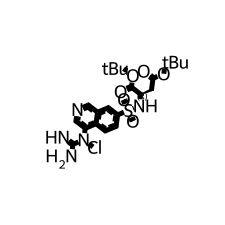 CC(C)(C)OC(=O)C[C@@H](NS(=O)(=O)c1ccc2c(N(Cl)C(=N)N)cncc2c1)C(=O)OC(C)(C)C